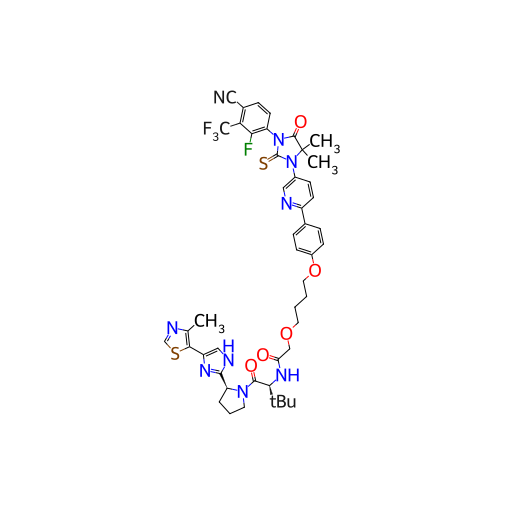 Cc1ncsc1-c1c[nH]c([C@@H]2CCCN2C(=O)[C@@H](NC(=O)COCCCCOc2ccc(-c3ccc(N4C(=S)N(c5ccc(C#N)c(C(F)(F)F)c5F)C(=O)C4(C)C)cn3)cc2)C(C)(C)C)n1